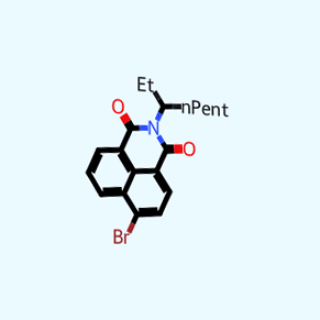 CCCCCC(CC)N1C(=O)c2cccc3c(Br)ccc(c23)C1=O